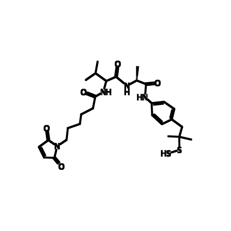 CC(C)C(NC(=O)CCCCCN1C(=O)C=CC1=O)C(=O)N[C@@H](C)C(=O)Nc1ccc(CC(C)(C)SS)cc1